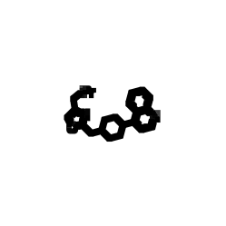 CC(C)Cc1coc(CC2CCC(c3ccnc4ccccc34)CC2)n1